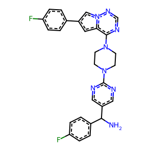 NC(c1ccc(F)cc1)c1cnc(N2CCN(c3ncnn4cc(-c5ccc(F)cc5)cc34)CC2)nc1